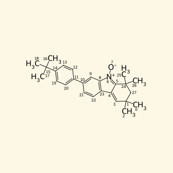 CC1(C)C=C2C(=[N+]([O-])c3cc(-c4ccc(C(C)(C)C)cc4)ccc32)C(C)(C)C1